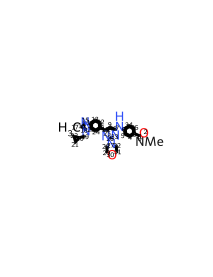 CNC(=O)c1ccc(Nc2cc(-c3ccc4nc(C)n(CC5CC5)c4c3)nc(N3CCOCC3)n2)cc1